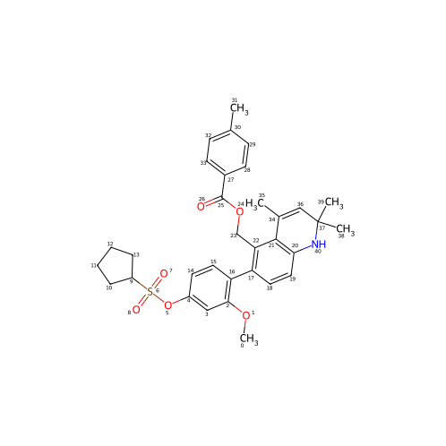 COc1cc(OS(=O)(=O)C2CCCC2)ccc1-c1ccc2c(c1COC(=O)c1ccc(C)cc1)C(C)=CC(C)(C)N2